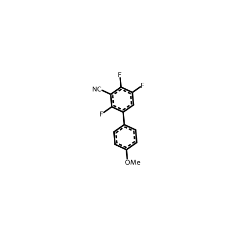 COc1ccc(-c2cc(F)c(F)c(C#N)c2F)cc1